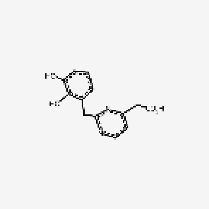 O=C(O)Cc1ccnc(Cc2cccc(O)c2O)n1